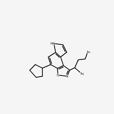 CC(=O)CCC(C(C)=O)c1noc2c(C3CCCC3)cc3[nH]ccc3c12